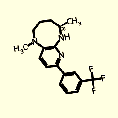 C[C@@H]1CCCN(C)c2ccc(-c3cccc(C(F)(F)F)c3)nc2N1